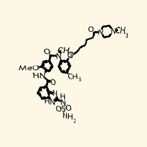 COc1cc(C(=O)N(C)c2ccc(C)cc2OCCCCCC(=O)N2CCN(C)CC2)ccc1NC(=O)c1cccc2[nH]c(NS(N)(=O)=O)nc12